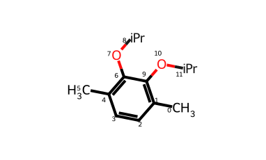 Cc1ccc(C)c(OC(C)C)c1OC(C)C